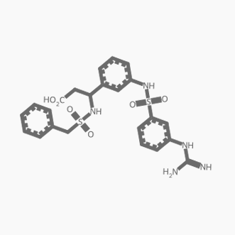 N=C(N)Nc1cccc(S(=O)(=O)Nc2cccc(C(CC(=O)O)NS(=O)(=O)Cc3ccccc3)c2)c1